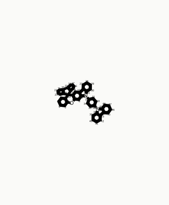 c1ccc2c(c1)Oc1cc3c(cc1C21c2ccccc2-c2ccccc21)c1ccccc1n3-c1ccc(-n2c3ccccc3c3ccccc32)cc1